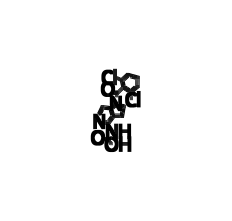 O=C(O)Nc1nccc2c1ccn2C(=O)c1c(Cl)cccc1Cl